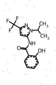 CC(C)n1nc(C(F)(F)F)cc1NC(=O)c1ccccc1O